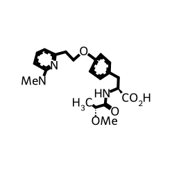 CNc1cccc(CCOc2ccc(C[C@H](NC(=O)[C@@H](C)OC)C(=O)O)cc2)n1